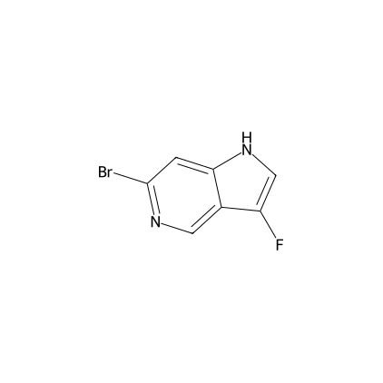 Fc1c[nH]c2cc(Br)ncc12